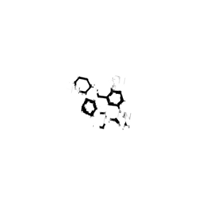 CCN(CC)c1nnnn1-c1ccc(OC)c(CN[C@H]2CCCN[C@H]2c2ccccc2)c1